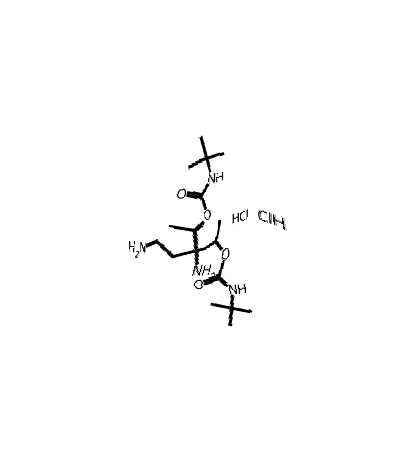 CC(OC(=O)NC(C)(C)C)C(N)(CCN)C(C)OC(=O)NC(C)(C)C.Cl.Cl